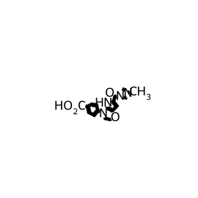 CN1CN(C(=O)c2cc3c([nH]2)N(c2ccc(C(=O)O)cc2)CCO3)C1